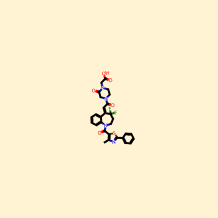 Cc1nc(-c2ccccc2)sc1C(=O)N1CCC(F)(F)C(=CC(=O)N2CCN(CC(=O)O)C(=O)C2)c2ccccc21